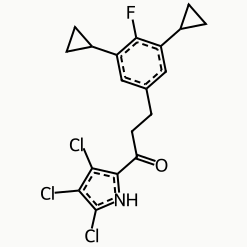 O=C(CCc1cc(C2CC2)c(F)c(C2CC2)c1)c1[nH]c(Cl)c(Cl)c1Cl